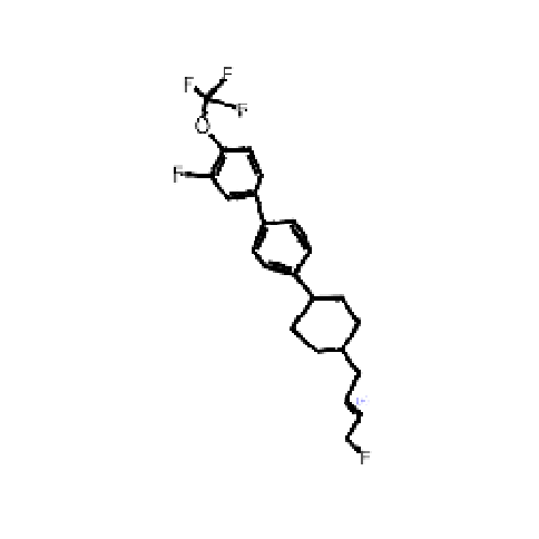 FC/C=C/CC1CCC(c2ccc(-c3ccc(OC(F)(F)F)c(F)c3)cc2)CC1